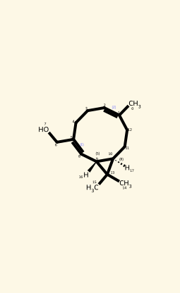 C/C1=C/CC/C(CO)=C\[C@@H]2[C@@H](CC1)C2(C)C